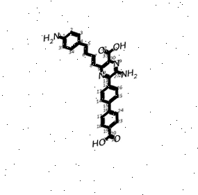 Nc1ccc(/C=C/C=C/c2nc(-c3ccc(-c4ccc(C(=O)O)cc4)cc3)c(N)nc2C(=O)O)cc1